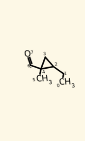 CCC1CC1(C)[C]=O